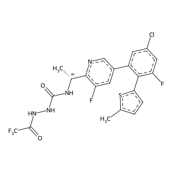 Cc1ccc(-c2c(F)cc(Cl)cc2-c2cnc([C@@H](C)NC(=O)NNC(=O)C(F)(F)F)c(F)c2)s1